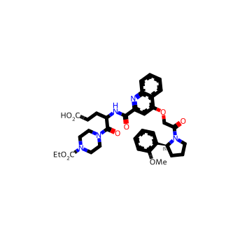 CCOC(=O)N1CCN(C(=O)C(CCC(=O)O)NC(=O)c2cc(OCC(=O)N3CCC[C@H]3c3ccccc3OC)c3ccccc3n2)CC1